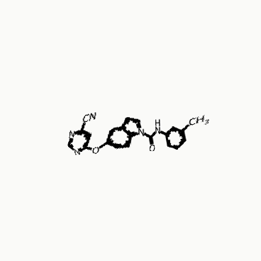 Cc1cccc(NC(=O)n2ccc3cc(Oc4cc(C#N)ncn4)ccc32)c1